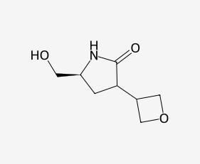 O=C1N[C@H](CO)CC1C1COC1